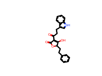 O=C(CCc1c[nH]c2ccccc12)C1=C(O)C(CCc2ccccc2)OC1=O